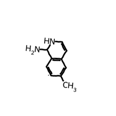 Cc1[c]cc2c(c1)C=CNC2N